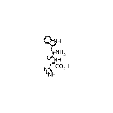 N[C@@H](Cc1c[nH]c2ccccc12)C(=O)N[C@@H](Cc1c[nH]cn1)C(=O)O